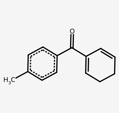 Cc1ccc(C(=O)C2=CCCC=C2)cc1